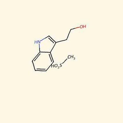 CS(=O)(=O)O.OCCc1c[nH]c2ccccc12